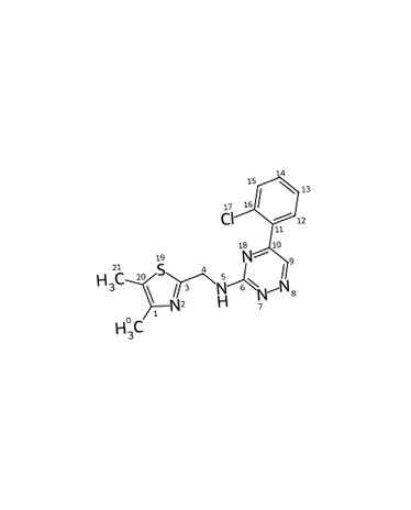 Cc1nc(CNc2nncc(-c3ccccc3Cl)n2)sc1C